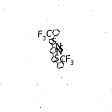 FC(F)(F)c1ccccc1-c1ccc(-c2ccc(-c3ccc(-c4ccccc4C(F)(F)F)s3)c3nsnc23)s1